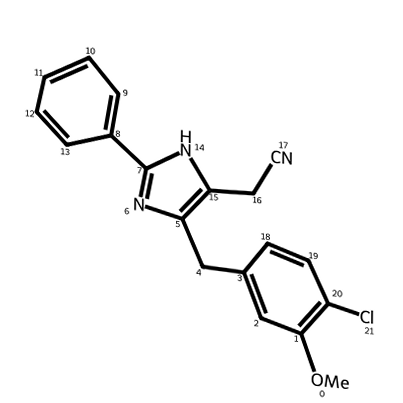 COc1cc(Cc2nc(-c3ccccc3)[nH]c2CC#N)ccc1Cl